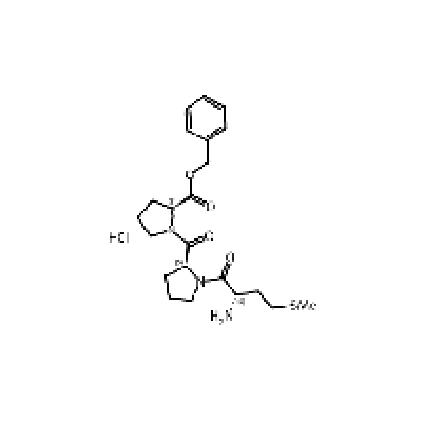 CSCC[C@H](N)C(=O)N1CCC[C@H]1C(=O)N1CCC[C@H]1C(=O)OCc1ccccc1.Cl